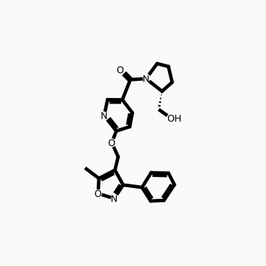 Cc1onc(-c2ccccc2)c1COc1ccc(C(=O)N2CCC[C@@H]2CO)cn1